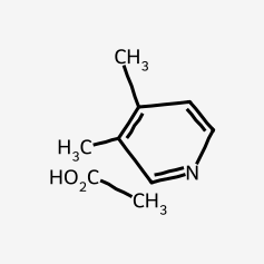 CC(=O)O.Cc1ccncc1C